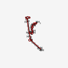 CC(C)[C@H](NC(=O)[C@@H](CCCCNC(=O)COC1CCCCCc2c1nnn2CCOCCOCCOCCOCCC(=O)NCCS(=O)(=O)O)NC(=O)CCOCCOCCOCCOCCNC(=O)CCC(=O)N1Cc2ccccc2C#Cc2ccccc21)C(=O)N[C@@H](C)C(=O)Nc1ccc2c(c1)[C@@]1(C)CCC[C@](C)(C(=O)NC(=O)[C@@]3(C)CCC[C@]4(C)c5cc(N)ccc5CC[C@@H]34)[C@@H]1CC2